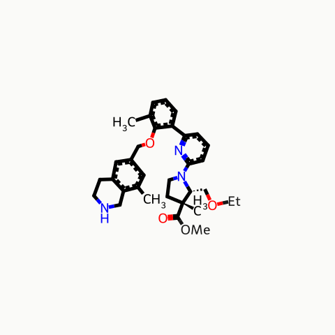 CCOC[C@H]1N(c2cccc(-c3cccc(C)c3OCc3cc(C)c4c(c3)CCNC4)n2)CC[C@@]1(C)C(=O)OC